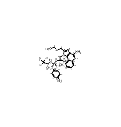 CCOCc1nc2c(N)nc3ccccc3c2n1C[C@](C)(O)OP(=O)(N[C@@H](C)C(F)(F)F)Oc1ccc(Cl)cc1